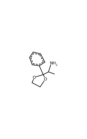 CC(N)C1(c2ccccc2)OCCO1